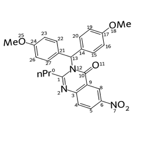 CCCc1nc2ccc([N+](=O)[O-])cc2c(=O)n1C(c1ccc(OC)cc1)c1ccc(OC)cc1